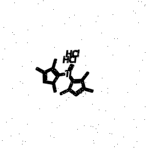 Cl.Cl.[CH2]=[Ti]([C]1=C(C)C(C)=CC1C)[C]1=C(C)C(C)=CC1C